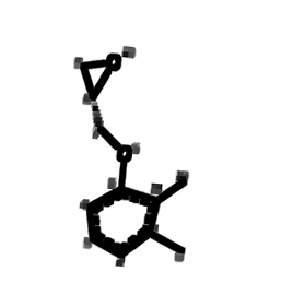 Cc1cccc(OC[C@@H]2CO2)c1C